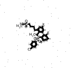 CNS(=O)(=O)CCCCc1cc(F)ccc1[C@@H](C)N(c1cc(F)ccc1F)S(=O)(=O)c1ccc(Cl)cc1